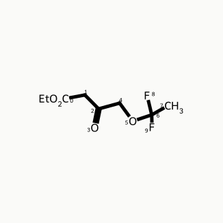 CCOC(=O)CC(=O)COC(C)(F)F